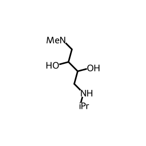 CNCC(O)C(O)CNC(C)C